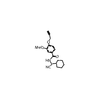 C#CCOc1ccc(C(=O)NC(C#N)C2CCCCC2)cc1OC